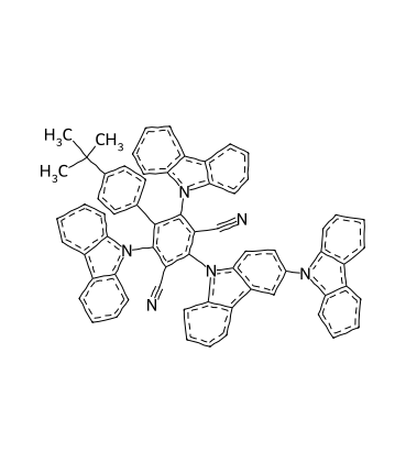 CC(C)(C)c1ccc(-c2c(-n3c4ccccc4c4ccccc43)c(C#N)c(-n3c4ccccc4c4cc(-n5c6ccccc6c6ccccc65)ccc43)c(C#N)c2-n2c3ccccc3c3ccccc32)cc1